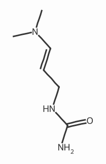 CN(C)C=CCNC(N)=O